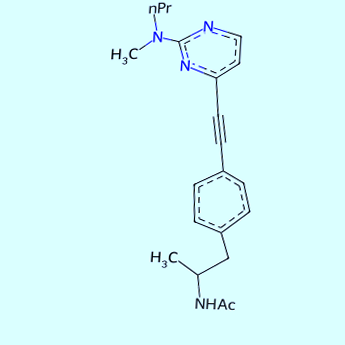 CCCN(C)c1nccc(C#Cc2ccc(CC(C)NC(C)=O)cc2)n1